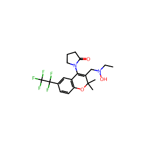 CCN(O)CC1=C(N2CCCC2=O)c2cc(C(F)(F)C(F)(F)F)ccc2OC1(C)C